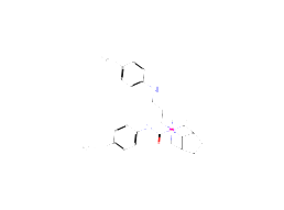 COc1ccc(NC(=O)N(C)C2C3CCC2CN(CCCNc2ccc(C#N)cc2)C3)cc1